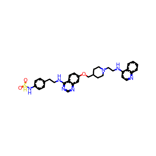 O=[SH](=O)Nc1ccc(CCNc2ncnc3cc(OCC4CCN(CCNc5ccnc6ccccc56)CC4)ccc23)cc1